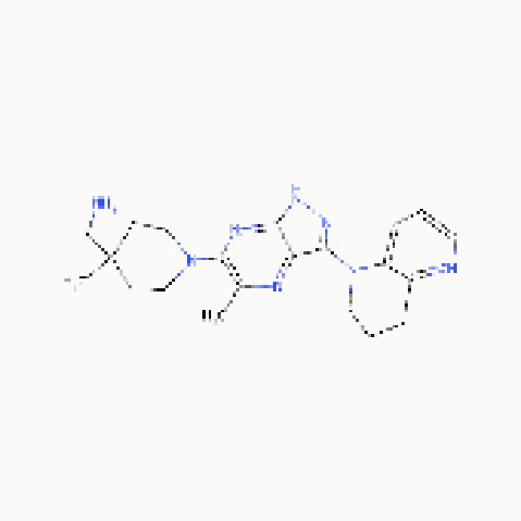 Cc1nc2c(N3CCCc4ncccc43)n[nH]c2nc1N1CCC(C)(CN)CC1